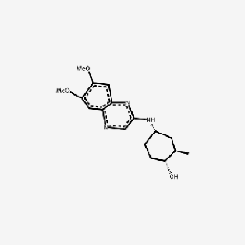 COc1cc2ncc(N[C@H]3CC[C@@H](O)[C@H](C)C3)nc2cc1OC